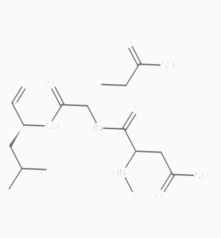 CC(C)C[C@@H](C=O)NC(=O)[C@H](CCC(N)=O)NC(=O)C(CC(N)=O)NI